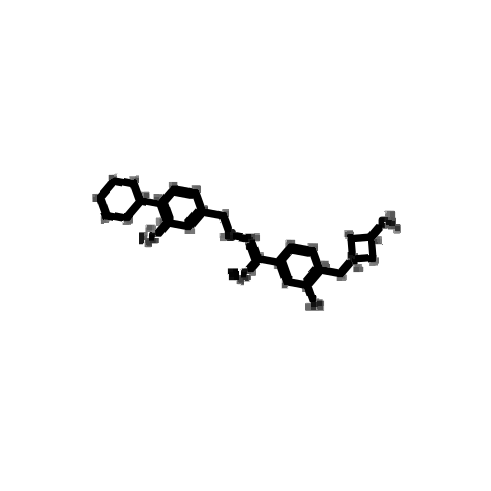 CCc1cc(/C(C)=N/OCc2ccc(C3CCCCC3)c(C(F)(F)F)c2)ccc1CN1CC(C)C1